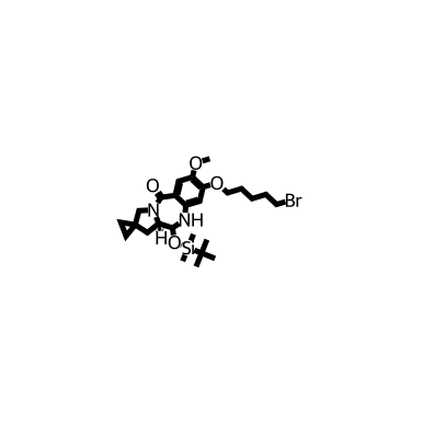 COc1cc2c(cc1OCCCCCBr)NC(O[Si](C)(C)C(C)(C)C)[C@@H]1CC3(CC3)CN1C2=O